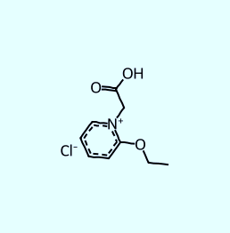 CCOc1cccc[n+]1CC(=O)O.[Cl-]